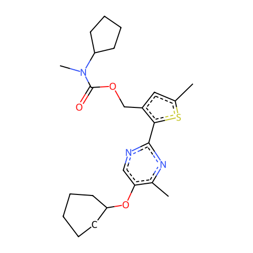 Cc1cc(COC(=O)N(C)C2CCCC2)c(-c2ncc(OC3CCCCC3)c(C)n2)s1